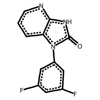 O=c1[nH]c2ncccc2n1-c1cc(F)cc(F)c1